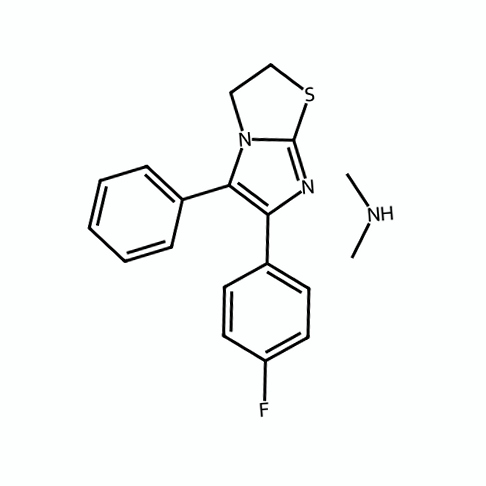 CNC.Fc1ccc(-c2nc3n(c2-c2ccccc2)CCS3)cc1